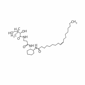 CCCCCCCC/C=C\CCCCCCCC(=O)N[C@H]1CCCC[C@@H]1NC(=O)CCNC(=O)[C@H](O)C(C)(C)CO